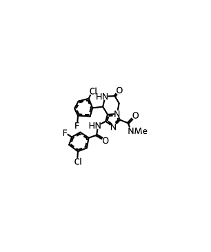 CNC(=O)c1nc(NC(=O)c2cc(F)cc(Cl)c2)c2n1CC(=O)NC2c1cc(F)ccc1Cl